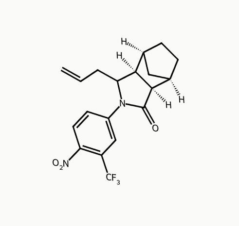 C=CCC1[C@H]2[C@H]3CC[C@H](C3)[C@H]2C(=O)N1c1ccc([N+](=O)[O-])c(C(F)(F)F)c1